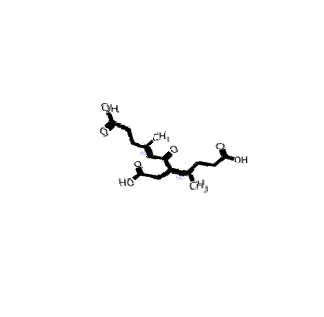 C/C(CCC(=O)O)=C(\CC(=O)O)C(=O)/C=C(\C)CCC(=O)O